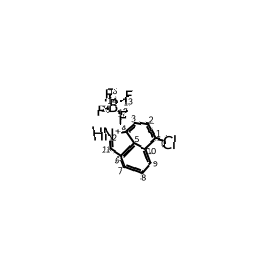 Clc1ccc2c3c(cccc13)C=[NH+]2.F[B-](F)(F)F